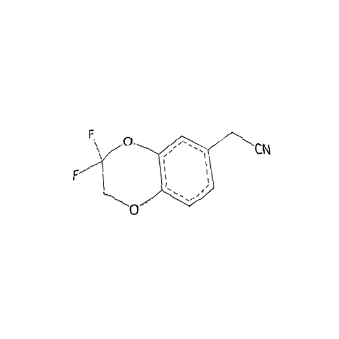 N#CCc1ccc2c(c1)OC(F)(F)CO2